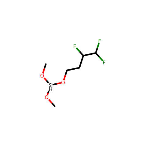 CO[SiH](OC)OCCC(F)C(F)F